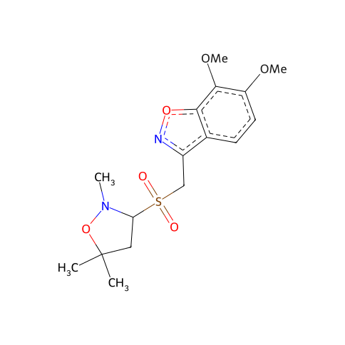 COc1ccc2c(CS(=O)(=O)C3CC(C)(C)ON3C)noc2c1OC